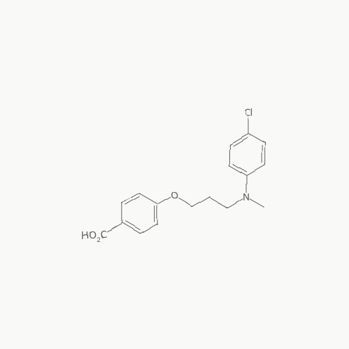 CN(CCCOc1ccc(C(=O)O)cc1)c1ccc(Cl)cc1